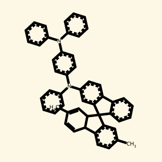 CC1=CC2C(C=C1)c1ccc(C)cc1C21c2ccccc2-c2ccc(N(c3ccccc3)c3ccc(N(c4ccccc4)c4ccccc4)cc3)cc21